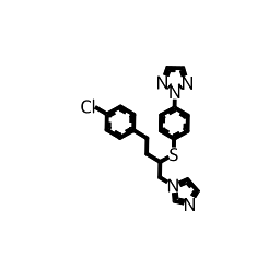 Clc1ccc(CCC(Cn2ccnc2)Sc2ccc(-n3nccn3)cc2)cc1